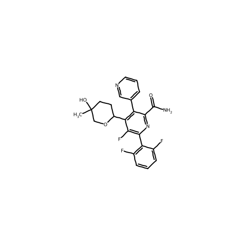 CC1(O)CCC(c2c(F)c(-c3c(F)cccc3F)nc(C(N)=O)c2-c2cccnc2)OC1